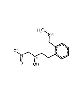 CNCc1ccccc1CC[C@@H](O)C[N+](=O)[O-]